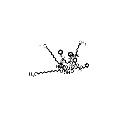 CCCCCCCCCCCCCC(=O)N[C@H]1[C@@H](OC(CC(=O)OCc2ccccc2)CC(=O)OCc2ccccc2)O[C@H](COC(=O)[C@@H](CCC(=O)OCc2ccccc2)NC(=O)c2ccc(NC(=O)CCCCCCC)cc2)[C@@H](O)[C@@H]1OC(=O)CCCCCCCCCCCCC